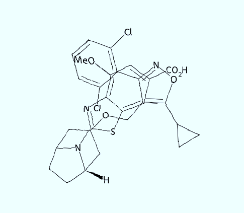 COc1cc(C(=O)O)cc2sc(N3C4CC[C@H]3CC(OCc3c(-c5c(Cl)cccc5Cl)noc3C3CC3)C4)nc12